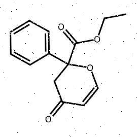 CCOC(=O)C1(c2ccccc2)CC(=O)C=CO1